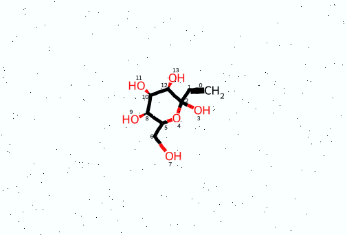 C=CC1(O)OC(CO)[C@@H](O)[C@@H](O)[C@H]1O